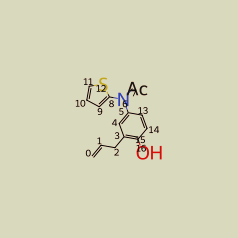 C=CCc1cc(N(C(C)=O)c2cccs2)ccc1O